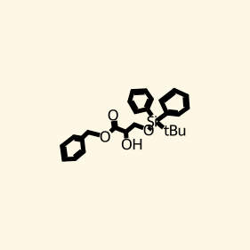 CC(C)(C)[Si](OCC(O)C(=O)OCc1ccccc1)(c1ccccc1)c1ccccc1